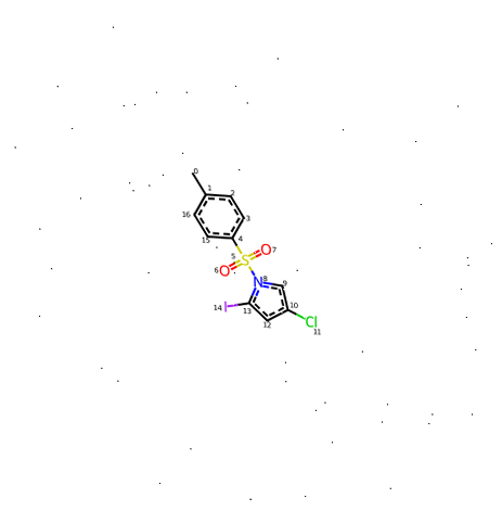 Cc1ccc(S(=O)(=O)n2cc(Cl)cc2I)cc1